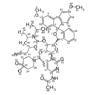 COc1ccc(C(OC[C@H]2O[C@@H](n3ccc(NC(C)=O)nc3=O)C(OC(=S)N3CCS(=O)(=O)CC3)C2OP(OCCC#N)N(C(C)C)C(C)C)(c2ccccc2)c2ccc(OC)cc2)cc1